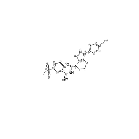 CCC[C@H](NC(=O)N1CCCc2c1cnn2-c1ccc(F)cc1)c1ccnc(S(C)(=O)=O)c1